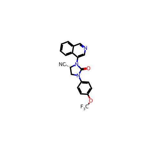 N#C[C@H]1CN(c2ccc(OC(F)(F)F)cc2)C(=O)N1c1cncc2ccccc12